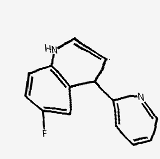 Fc1ccc2c(c1)C(c1ccccn1)[C]=CN2